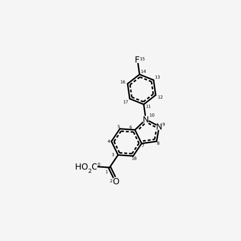 O=C(O)C(=O)c1ccc2c(cnn2-c2ccc(F)cc2)c1